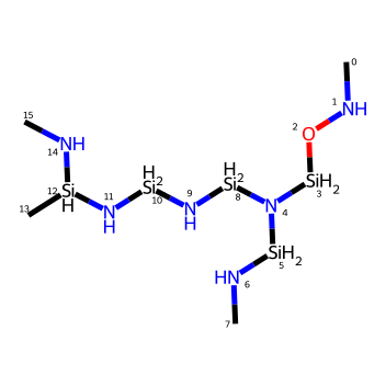 CNO[SiH2]N([SiH2]NC)[SiH2]N[SiH2]N[SiH](C)NC